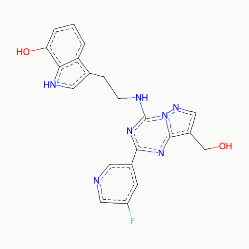 OCc1cnn2c(NCCc3c[nH]c4c(O)cccc34)nc(-c3cncc(F)c3)nc12